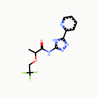 CC(OCC(F)(F)F)C(=O)Nc1nnc(-c2ccccn2)[nH]1